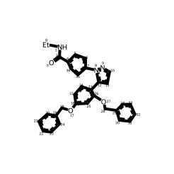 CCNC(=O)c1ccc(-n2nccc2-c2ccc(OCc3ccccc3)cc2OCc2ccccc2)cc1